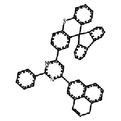 C1=Cc2cc(-c3cc(-c4ccc5c(c4)C4(c6ccccc6S5)c5ccccc5-c5ccccc54)nc(-c4ccccc4)n3)cc3cccc(c23)C1